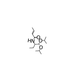 CC=CC(=O)NC(CC)C(OC(C)C)OC(C)C